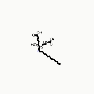 CCCCCCCCCCC/C=C\[C@@H](SCCNC(=O)OC)[C@@H](O)CCCC(=O)O